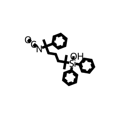 CC(CCCC(C)(C)[Si](O)(c1ccccc1)c1ccccc1)(N=C=O)c1ccccc1